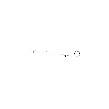 NCCCOCCOCCCNC(=O)OCc1ccccc1